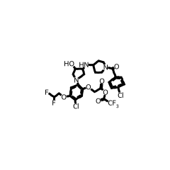 O=C(COc1cc(Cl)c(OCC(F)F)cc1N1CC(O)C(NC2CCN(C(=O)c3ccc(Cl)cc3)CC2)C1)OC(=O)C(F)(F)F